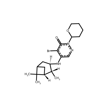 C[C@@H]1[C@H]2CC(C[C@H]1Nc1cnn(C3CCCCO3)c(=O)c1Br)C2(C)C